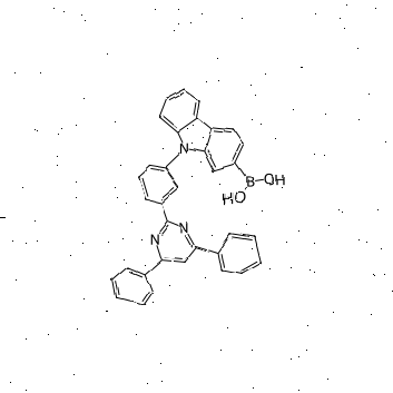 OB(O)c1ccc2c3ccccc3n(-c3cccc(-c4nc(-c5ccccc5)cc(-c5ccccc5)n4)c3)c2c1